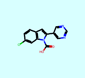 O=C(O)n1c(-c2cncnc2)cc2ccc(Cl)cc21